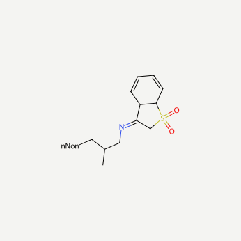 CCCCCCCCCCC(C)C/N=C1\CS(=O)(=O)C2C=CC=CC12